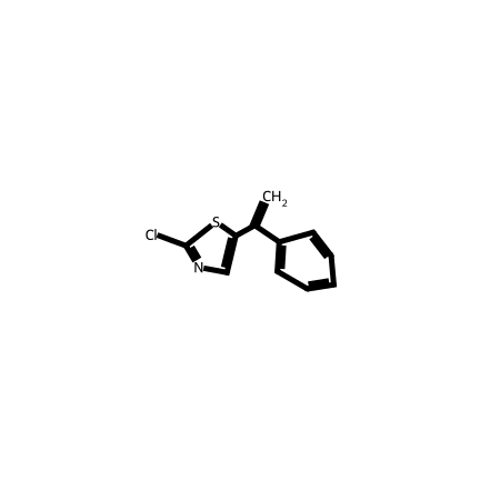 C=C(c1ccccc1)c1cnc(Cl)s1